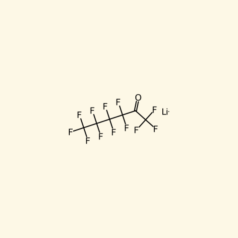 O=C(C(F)(F)F)C(F)(F)C(F)(F)C(F)(F)C(F)(F)F.[Li]